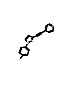 Fc1ccc(-n2ccc(C#Cc3ccncc3)n2)cc1